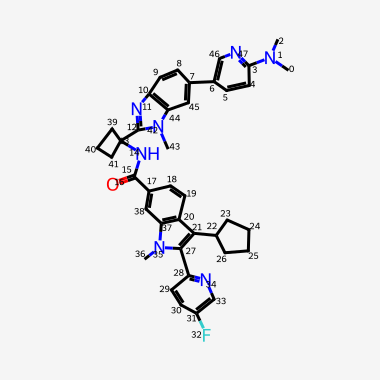 CN(C)c1ccc(-c2ccc3nc(C4(NC(=O)c5ccc6c(C7CCCC7)c(-c7ccc(F)cn7)n(C)c6c5)CCC4)n(C)c3c2)cn1